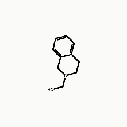 OCN1CCc2ccccc2C1